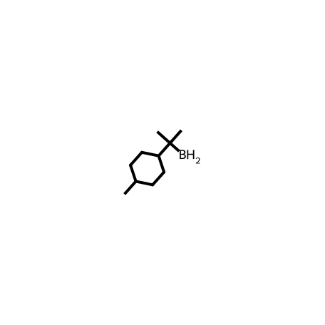 BC(C)(C)C1CCC(C)CC1